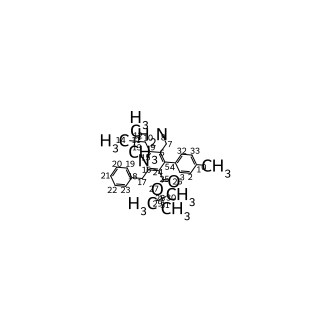 Cc1ccc(-c2c(CN)c(CC(C)(C)C)nc(Cc3ccccc3)c2C(=O)OC(C)(C)C)cc1